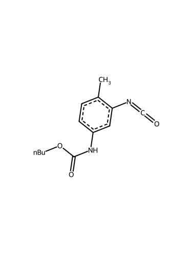 CCCCOC(=O)Nc1ccc(C)c(N=C=O)c1